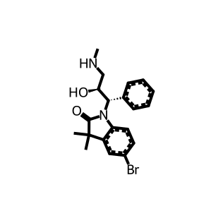 CNC[C@H](O)[C@H](c1ccccc1)N1C(=O)C(C)(C)c2cc(Br)ccc21